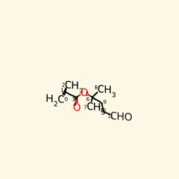 C=C(C)C(=O)OC(C)(C)CCC=O